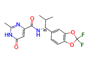 Cc1nc(C(=O)N[C@@H](c2ccc3c(c2)OC(F)(F)O3)C(C)C)cc(=O)[nH]1